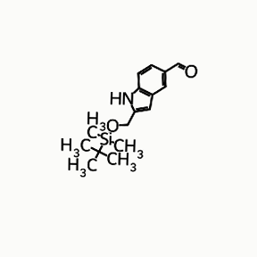 CC(C)(C)[Si](C)(C)OCc1cc2cc(C=O)ccc2[nH]1